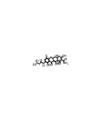 CCN(CC)CC(=O)Nc1cc(F)c2c(c1O)C(=O)C1=C(O)[C@]3(O)C(=O)C(C(N)=O)=C(O)C[C@@H]3CC1C2